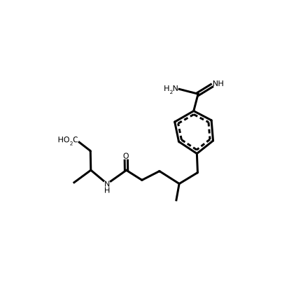 CC(CCC(=O)NC(C)CC(=O)O)Cc1ccc(C(=N)N)cc1